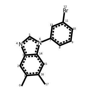 Cc1cc2ncn(-c3cccc(Br)c3)c2cc1C